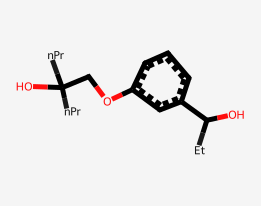 CCCC(O)(CCC)COc1cccc(C(O)CC)c1